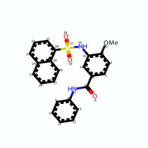 COc1ccc(C(=O)Nc2ccccc2)cc1NS(=O)(=O)c1cccc2ccccc12